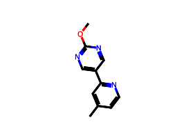 COc1ncc(-c2cc(C)ccn2)cn1